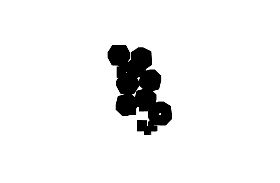 C=C1CC=CC=C(c2cc(-c3cccc(-n4c5ccccc5c5c(-c6ccccc6)nc6ccccc6c54)c3)cc(-c3ccccn3)n2)C1